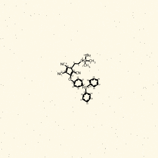 CC(C)(C)[Si](C)(C)OCCC1C(C#N)=C(C#N)C(Oc2ccc([SH](c3ccccc3)c3ccccc3)cc2)=C1C#N